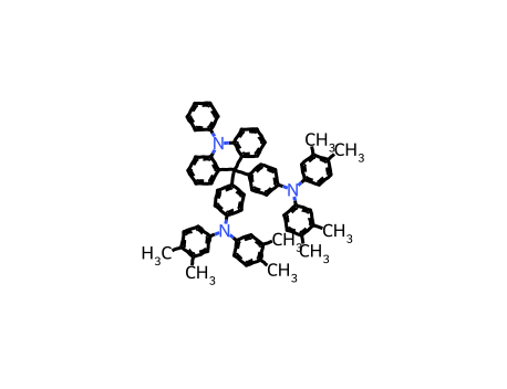 Cc1ccc(N(c2ccc(C3(c4ccc(N(c5ccc(C)c(C)c5)c5ccc(C)c(C)c5)cc4)c4ccccc4N(c4ccccc4)c4ccccc43)cc2)c2ccc(C)c(C)c2)cc1C